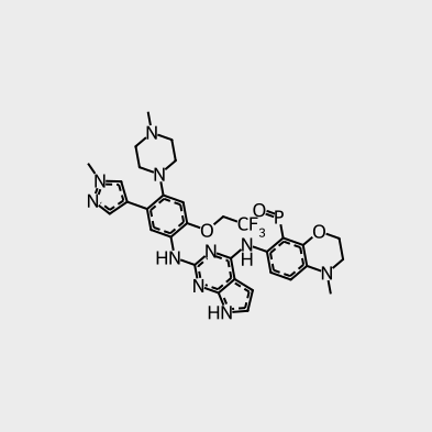 CN1CCN(c2cc(OCC(F)(F)F)c(Nc3nc(Nc4ccc5c(c4P=O)OCCN5C)c4cc[nH]c4n3)cc2-c2cnn(C)c2)CC1